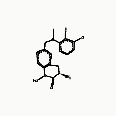 CN(Cc1ccc2c(c1)C[C@H](N)C(=O)N2O)c1cccc(Cl)c1F